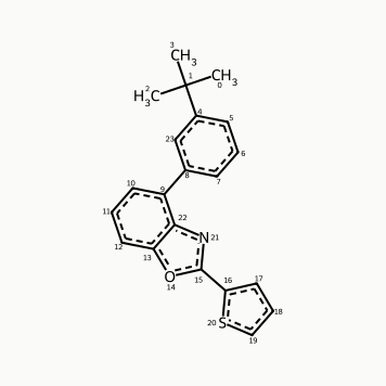 CC(C)(C)c1cccc(-c2cccc3oc(-c4cccs4)nc23)c1